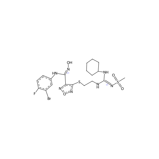 CS(=O)(=O)/N=C(/NCCSc1nonc1/C(=N/O)Nc1ccc(F)c(Br)c1)NC1CCCCC1